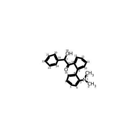 CN(C)c1ccccc1-c1ccccc1C(=O)C(O)c1ccccc1